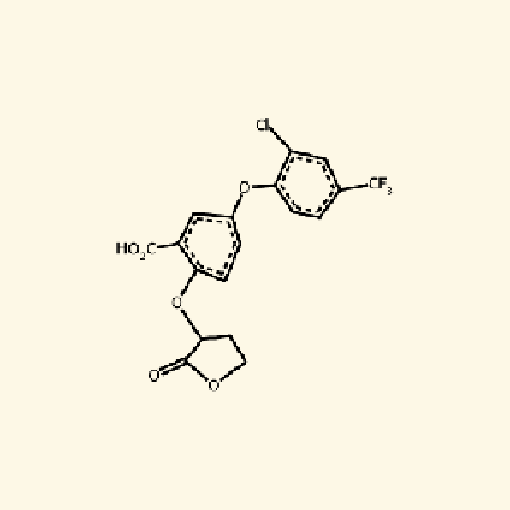 O=C(O)c1cc(Oc2ccc(C(F)(F)F)cc2Cl)ccc1OC1CCOC1=O